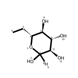 [2H]C1(O)O[C@H](CC)[C@@H](O)[C@H](O)[C@H]1O